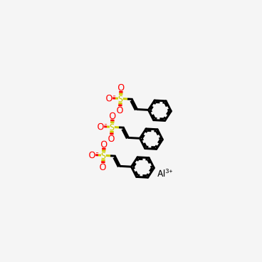 O=S(=O)([O-])C=Cc1ccccc1.O=S(=O)([O-])C=Cc1ccccc1.O=S(=O)([O-])C=Cc1ccccc1.[Al+3]